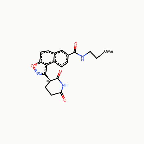 COCCNC(=O)c1ccc2c(ccc3onc([C@@H]4CCC(=O)NC4=O)c32)c1